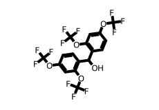 OC(c1ccc(OC(F)(F)F)cc1OC(F)(F)F)c1ccc(OC(F)(F)F)cc1OC(F)(F)F